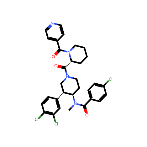 CN(C(=O)c1ccc(Cl)cc1)[C@@H]1CCN(C(=O)[C@H]2CCCCN2C(=O)c2ccncc2)C[C@H]1c1ccc(Cl)c(Cl)c1